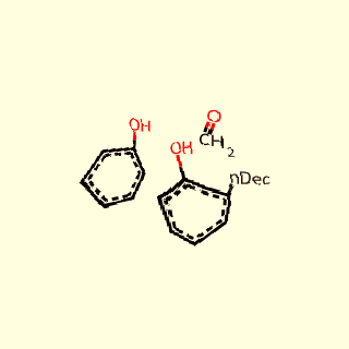 C=O.CCCCCCCCCCc1ccccc1O.Oc1ccccc1